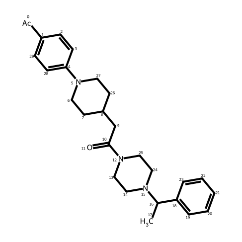 CC(=O)c1ccc(N2CCC(CC(=O)N3CCN(C(C)c4ccccc4)CC3)CC2)cc1